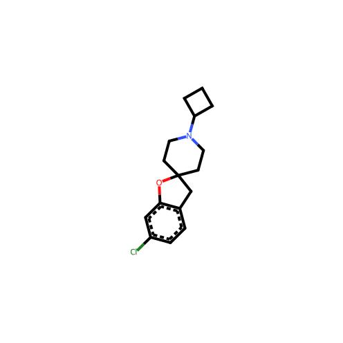 Clc1ccc2c(c1)OC1(CCN(C3CCC3)CC1)C2